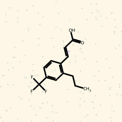 CCCc1cc(C(F)(F)F)ccc1/C=C/C(=O)O